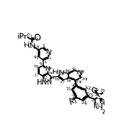 CC(C)C(=O)Nc1cncc(-c2ccc3[nH]nc(-c4cc5c(-c6cc(F)cc(C(N)S(C)(=O)=O)c6)cncc5[nH]4)c3n2)c1